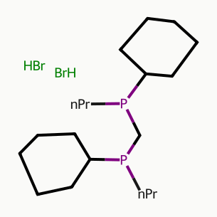 Br.Br.CCCP(CP(CCC)C1CCCCC1)C1CCCCC1